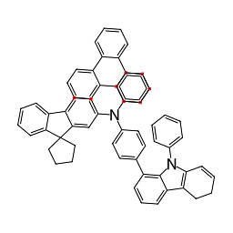 C1=Cc2c(c3cccc(-c4ccc(N(c5ccc6c(c5)C5(CCCC5)c5ccccc5-6)c5ccccc5-c5ccccc5-c5ccccc5-c5ccccc5)cc4)c3n2-c2ccccc2)CC1